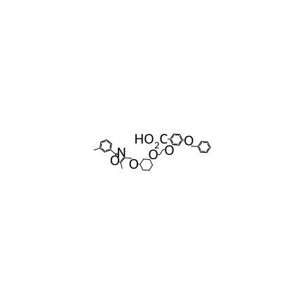 Cc1cccc(-c2nc(COC3CCCC(OCCOc4cc(OCc5ccccc5)ccc4C(=O)O)C3)c(C)o2)c1